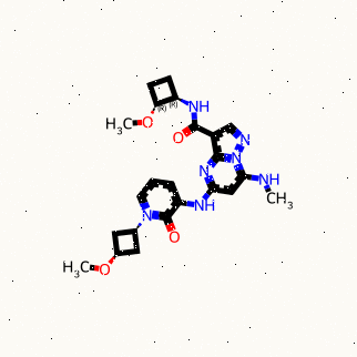 CNc1cc(Nc2cccn([C@H]3C[C@H](OC)C3)c2=O)nc2c(C(=O)N[C@@H]3CC[C@H]3OC)cnn12